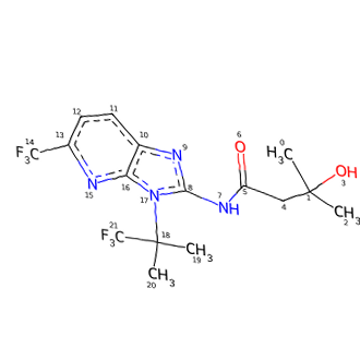 CC(C)(O)CC(=O)Nc1nc2ccc(C(F)(F)F)nc2n1C(C)(C)C(F)(F)F